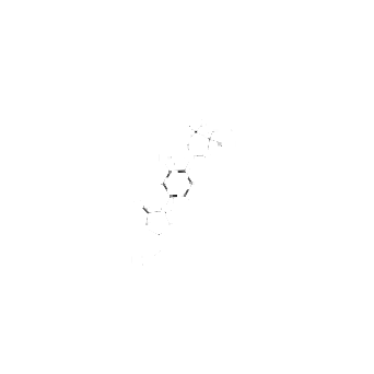 CC[C@H]1CN(c2ccc(B3OC(C)(C)C(C)(C)O3)c(F)c2)C(=O)O1